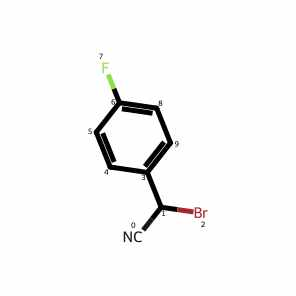 N#CC(Br)c1ccc(F)cc1